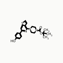 CC(C)(C)OC(=O)N1CCN(c2nc(-c3ccc(O)cc3)cc3sccc23)CC1